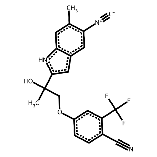 [C-]#[N+]c1cc2cc(C(C)(O)COc3ccc(C#N)c(C(F)(F)F)c3)[nH]c2cc1C